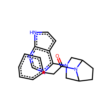 O=C(Cc1ccccc1)N1C2CCC1CN(c1ncnc3[nH]ccc13)C2